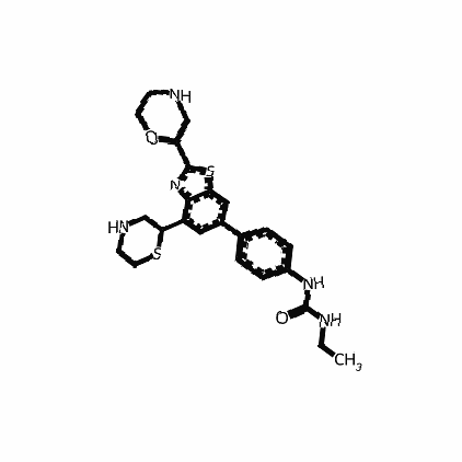 CCNC(=O)Nc1ccc(-c2cc(C3CNCCS3)c3nc(C4CNCCO4)sc3c2)cc1